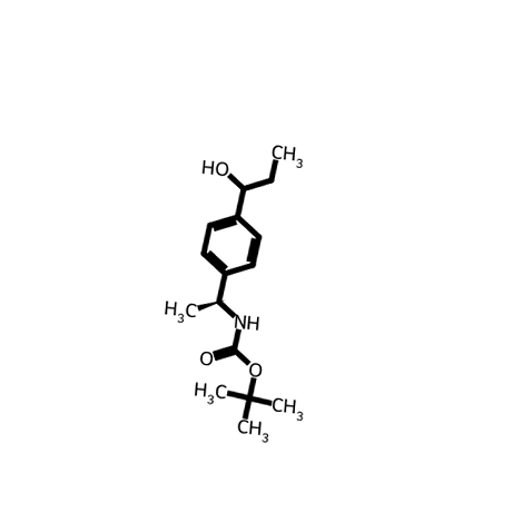 CCC(O)c1ccc([C@H](C)NC(=O)OC(C)(C)C)cc1